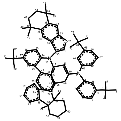 CC(C)(C)c1cccc(N(C2=CC(N(c3ccc(C(C)(C)C)cc3-c3ccccc3)c3csc4cc5c(cc34)C(C)(C)CCC5(C)C)=CC(N3c4ccccc4C4(C)CCCCC34C)C2)c2cccc(C(C)(C)C)c2)c1